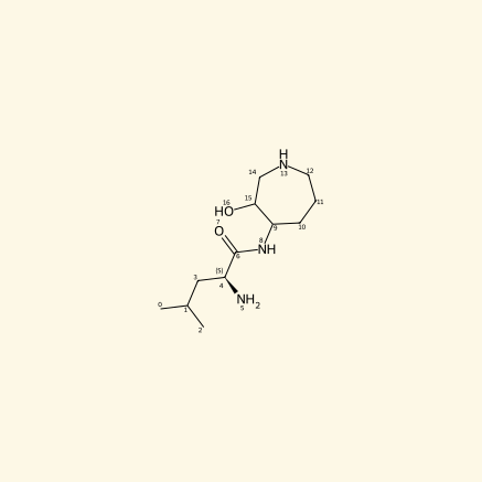 CC(C)C[C@H](N)C(=O)NC1CCCNCC1O